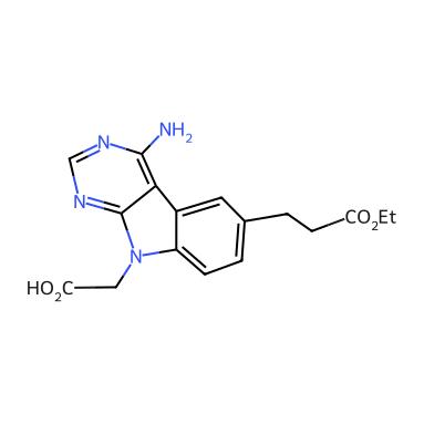 CCOC(=O)CCc1ccc2c(c1)c1c(N)ncnc1n2CC(=O)O